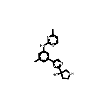 Cc1cc(Nc2nccc(C)n2)cc(-c2cnc(C3(O)CCNC3)s2)c1